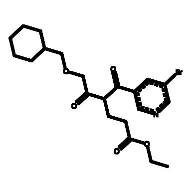 CCOC(=O)CCC(C(=O)COCC1CCCCC1)C(=O)c1cncc(Br)c1